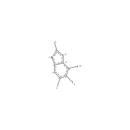 Cc1nc2cc(I)c(I)c(I)c2s1